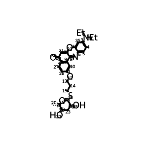 CCN(CC)c1ccc2nc3c4cc(OCCCS[C@H]5O[C@@H](C)[C@@H](O)C[C@@H]5O)ccc4c(=O)cc-3oc2c1